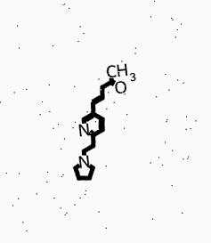 CC(=O)C/C=C/c1ccc(CCN2CCCC2)nc1